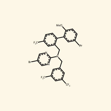 COc1ccc(C(C)C)cc1-c1ccc(C(F)(F)F)cc1CN(Cc1cc(C(F)(F)F)cc(C(F)(F)F)c1)c1ncc(Br)cn1